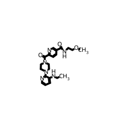 CCNc1cccnc1N1CCN(C(=O)c2ccc(C(=O)NCCOC)cn2)CC1